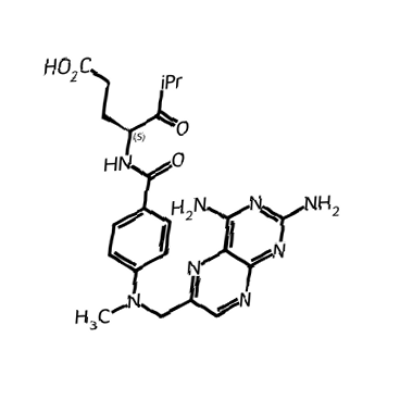 CC(C)C(=O)[C@H](CCC(=O)O)NC(=O)c1ccc(N(C)Cc2cnc3nc(N)nc(N)c3n2)cc1